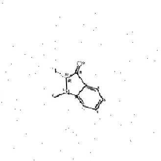 CN1c2ccccc2C(=O)[C@H]1I